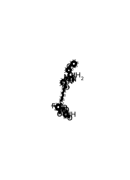 Nc1ncnc2c1c(-c1ccc(Oc3ccccc3)cc1)nn2[C@@H]1CCCN(C(=O)CCCCCCCSc2cc(F)cc3c2C(=O)N(C2CCC(=O)NC2=O)C3=O)C1